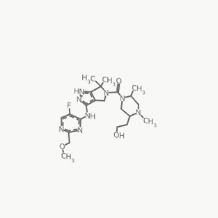 COCc1ncc(F)c(Nc2n[nH]c3c2CN(C(=O)N2CC(CCO)N(C)CC2C)C3(C)C)n1